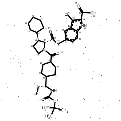 CC(C)(C)OC(=O)N[C@H](CF)C1CCC(C(=O)N2CC[C@@H](C3CCCCC3)[C@@H]2C(=O)Nc2ccc3[nH]c(C(=O)O)c(Cl)c3c2)CC1